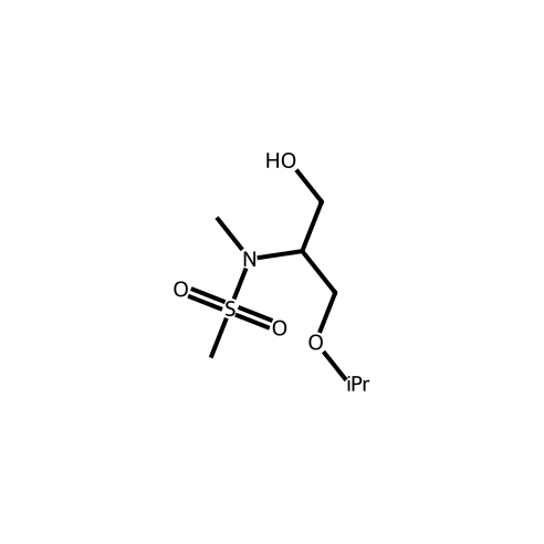 CC(C)OCC(CO)N(C)S(C)(=O)=O